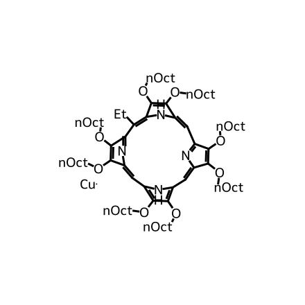 CCCCCCCCOC1=C(OCCCCCCCC)c2cc3[nH]c(c(CC)c4nc(cc5[nH]c(cc1n2)c(OCCCCCCCC)c5OCCCCCCCC)C(OCCCCCCCC)=C4OCCCCCCCC)c(OCCCCCCCC)c3OCCCCCCCC.[Cu]